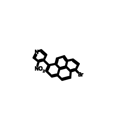 O=[N+]([O-])c1cnccc1-c1ccc2ccc3c(Br)ccc4ccc1c2c43